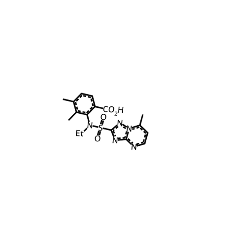 CCN(c1c(C(=O)O)ccc(C)c1C)S(=O)(=O)c1nc2nccc(C)n2n1